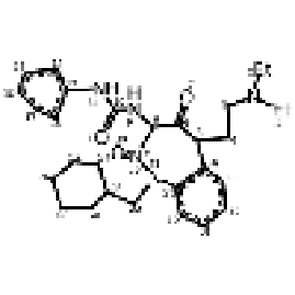 CCN(CC)CCC1C(=O)C(NC(=O)Nc2ccccc2)[N+](=O)N(CC2CCCCC2)c2ccccc21